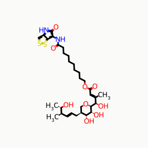 C/C(=C\C(=O)OCCCCCCCCCC(=O)Nc1c2sscc-2[nH]c1=O)[C@@H](O)[C@@H]1OC[C@H](C/C=C/[C@@H](C)[C@H](C)O)[C@@H](O)[C@H]1O